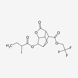 CCC(I)C(=O)OC1C2CC3C1OC(=O)C3C2C(=O)OCC(F)(F)F